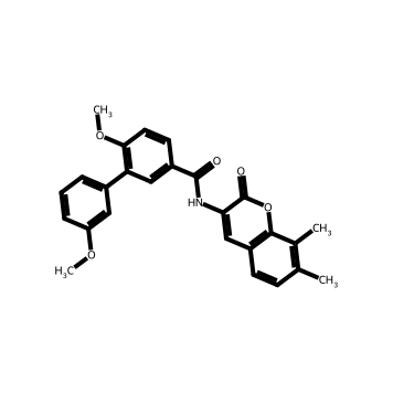 COc1cccc(-c2cc(C(=O)Nc3cc4ccc(C)c(C)c4oc3=O)ccc2OC)c1